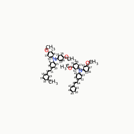 COc1ccc(N(c2ccc(C=Cc3cccc(C)c3)cc2)c2ccc(OC)cc2)cc1.COc1cccc(N(c2ccc(C=Cc3ccccc3)cc2)c2cccc(OC)c2)c1